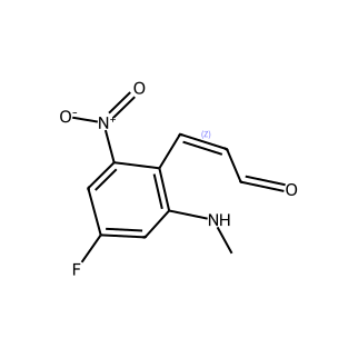 CNc1cc(F)cc([N+](=O)[O-])c1/C=C\C=O